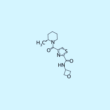 C[C@H]1CCCCN1C(=O)c1csc(C(=O)NC2COC2)n1